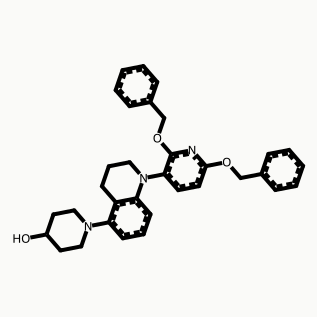 OC1CCN(c2cccc3c2CCCN3c2ccc(OCc3ccccc3)nc2OCc2ccccc2)CC1